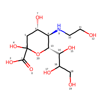 O=C(O)C1(O)C[C@H](O)[C@@H](NCCO)[C@H](C(O)C(O)CO)O1